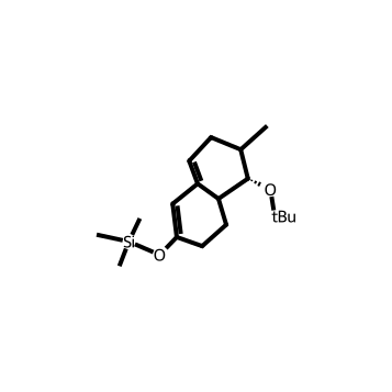 CC1CC=C2C=C(O[Si](C)(C)C)CCC2[C@H]1OC(C)(C)C